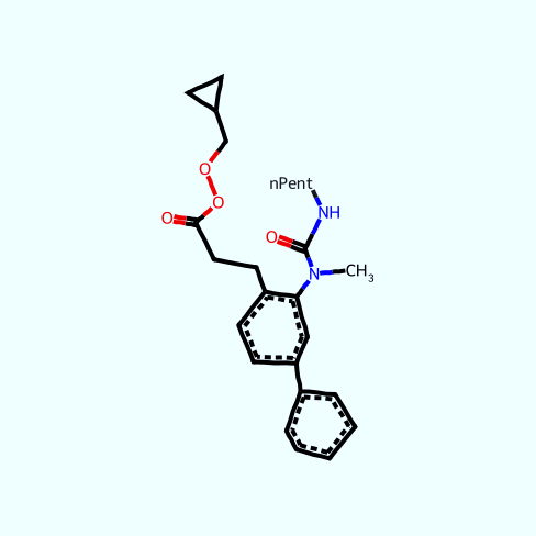 CCCCCNC(=O)N(C)c1cc(-c2ccccc2)ccc1CCC(=O)OOCC1CC1